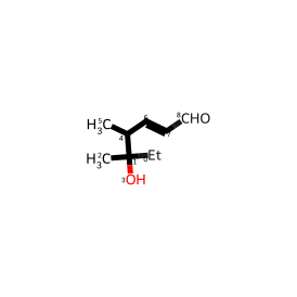 CCC(C)(O)C(C)/C=C/C=O